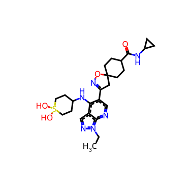 CCn1ncc2c(NC3CCS(O)(O)CC3)c(C3=NOC4(CCC(C(=O)NC5CC5)CC4)C3)cnc21